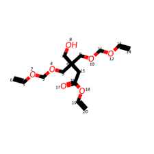 C=COCOCC(CO)(COCOC=C)CC(=O)OC=C